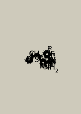 CC(c1ccc(-c2cnc(N)c(-c3nnnn3-c3cccc(F)c3F)c2)s1)N1CCCC1